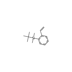 C=Cc1ccccc1[Si](C)(C)C(C)(C)C